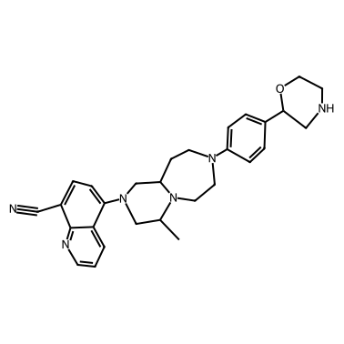 CC1CN(c2ccc(C#N)c3ncccc23)CC2CCN(c3ccc(C4CNCCO4)cc3)CCN12